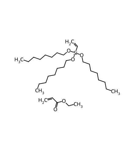 C=CC(=O)OCC.C=C[Si](OCCCCCCCC)(OCCCCCCCC)OCCCCCCCC